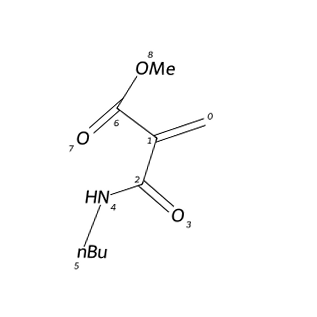 C=C(C(=O)NCCCC)C(=O)OC